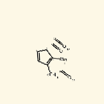 CC1=[C]([Mn])CC=C1.[C]=O.[C]=O.[C]=O